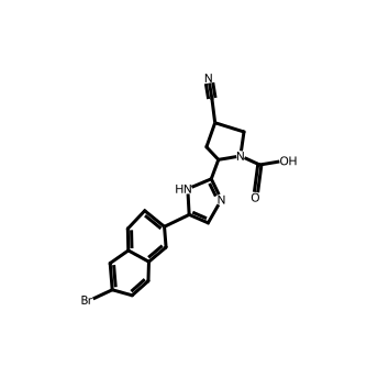 N#CC1CC(c2ncc(-c3ccc4cc(Br)ccc4c3)[nH]2)N(C(=O)O)C1